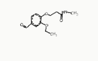 CCOc1cc(C=O)ccc1OCCC(=O)NC